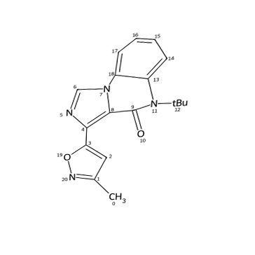 Cc1cc(-c2ncn3c2c(=O)n(C(C)(C)C)c2ccccc23)on1